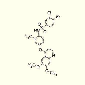 COc1cc2nccc(Oc3ccc(NS(=O)(=O)c4ccc(Br)c(Cl)c4)c(C)c3)c2cc1OC